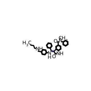 CCCCNCc1ccc(N/C(=C2\C(=O)Nc3ccc(C(=O)N(C)c4ccccc4)cc32)c2ccccc2)cc1